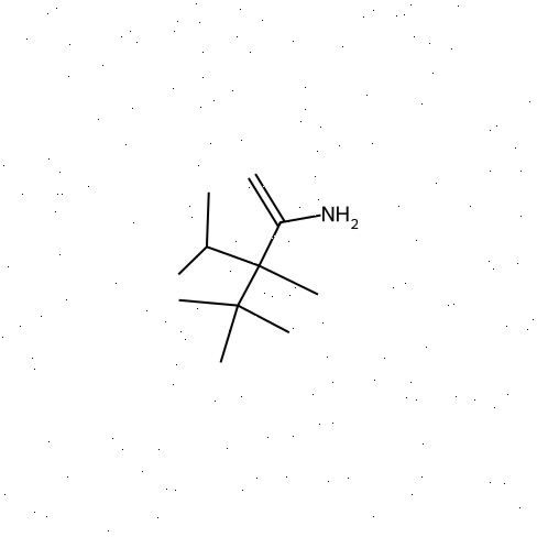 C=C(N)C(C)(C(C)C)C(C)(C)C